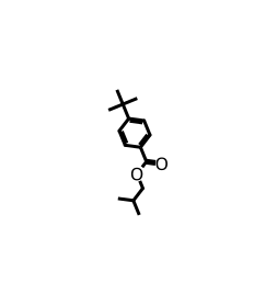 CC(C)COC(=O)c1ccc(C(C)(C)C)cc1